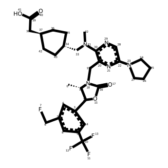 C[C@H]1C(c2cc(CF)cc(C(F)(F)F)c2)OC(=O)N1Cc1nc(N2CCCC2)cnc1N(C)C[C@H]1CC[C@H](CC(=O)O)CC1